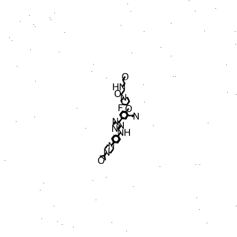 COCCNCC(=O)N1CCC(Oc2ccc(-c3ncnc(Nc4ccc(N5CCN(C6COC6)CC5)cc4)n3)cc2C#N)C(F)C1